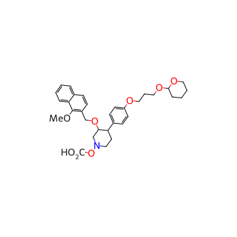 COc1c(COC2CN(OC(=O)O)CCC2c2ccc(OCCCOC3CCCCO3)cc2)ccc2ccccc12